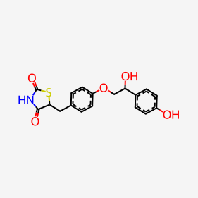 O=C1NC(=O)C(Cc2ccc(OCC(O)c3ccc(O)cc3)cc2)S1